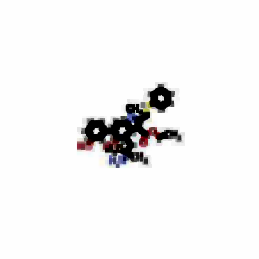 CCOC(=O)c1c(CSc2ccccc2)n(C)c2cc(-c3cccc(O)c3)c(O)c(CC(C)(C)N)c12